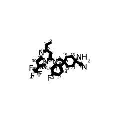 CCc1cc(NCC2(c3ccc(F)cc3)CCC(N)(C#N)CC2)n2nc(C(F)(F)F)cc2n1